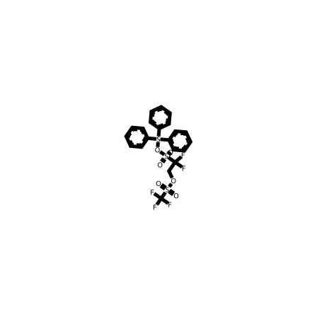 O=S(=O)(OCC(F)(F)S(=O)(=O)OS(c1ccccc1)(c1ccccc1)c1ccccc1)C(F)(F)F